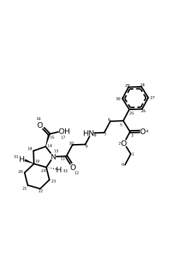 CCOC(=O)C(CCNCCC(=O)N1[C@H](C(=O)O)C[C@H]2CCCC[C@@H]21)c1ccccc1